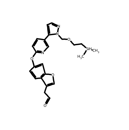 C[SiH](C)CCOCn1nccc1-c1ccc(Oc2ccc3c(CC=O)coc3c2)nc1